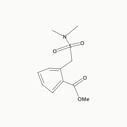 COC(=O)c1ccccc1CS(=O)(=O)N(C)C